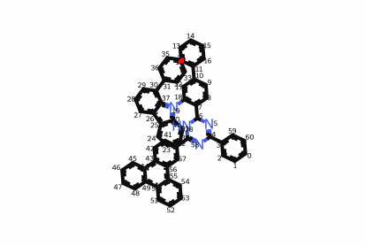 c1ccc(C2=NC(c3ccc(-c4ccccc4)cc3-n3c4ccccc4c4cccc(-c5ccccc5)c43)NC(c3ccc4c5ccccc5c5ccccc5c4c3)=N2)cc1